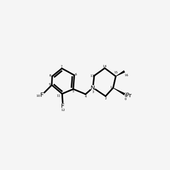 CC(C)[C@H]1CN(Cc2cccc(F)c2F)CC[C@H]1C